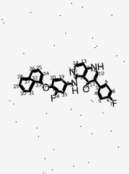 O=c1c(-c2ccc(F)cc2)c[nH]c2ccnc(Nc3ccc(Oc4cccc5ccccc45)c(F)c3)c12